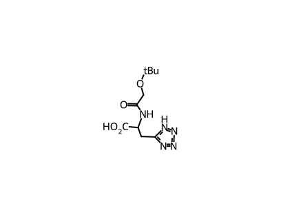 CC(C)(C)OCC(=O)NC(Cc1nnn[nH]1)C(=O)O